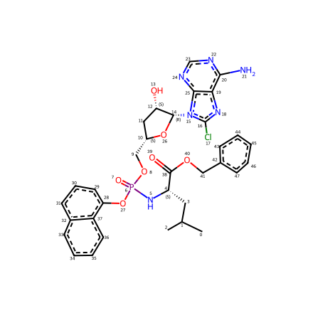 CC(C)C[C@H](NP(=O)(OC[C@@H]1C[C@H](O)[C@H](n2c(Cl)nc3c(N)ncnc32)O1)Oc1cccc2ccccc12)C(=O)OCc1ccccc1